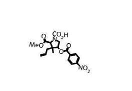 C=CCC1(C)C(OC(=O)c2ccc([N+](=O)[O-])cc2)CN(C(=O)O)C1C(=O)OC